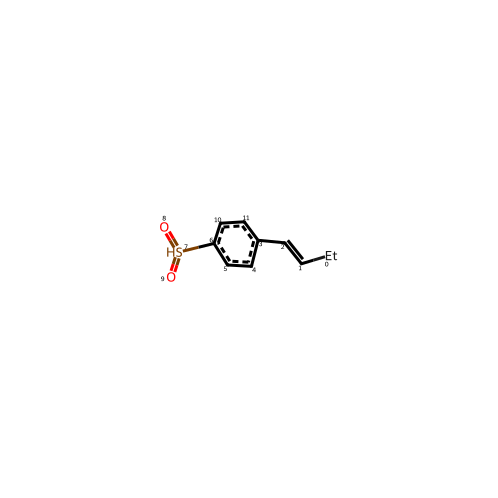 CCC=Cc1ccc([SH](=O)=O)cc1